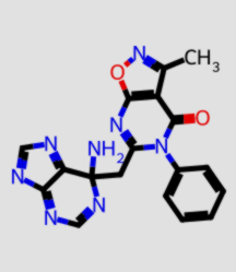 Cc1noc2nc(CC3(N)N=CN=C4N=CN=C43)n(-c3ccccc3)c(=O)c12